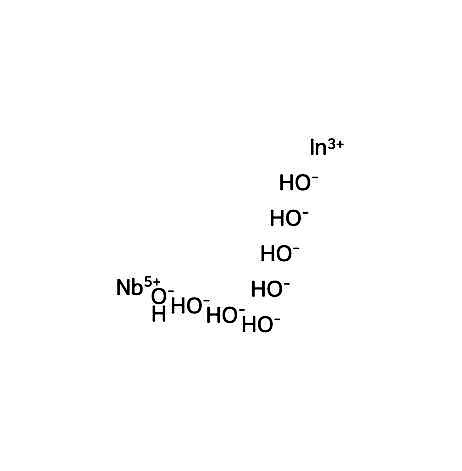 [In+3].[Nb+5].[OH-].[OH-].[OH-].[OH-].[OH-].[OH-].[OH-].[OH-]